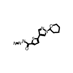 [N-]=[N+]=NC(=O)c1ccc(-c2cnn(C3CCCCO3)c2)s1